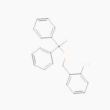 CCC(OCc1ccccc1N)(c1ccccc1)c1ccccc1